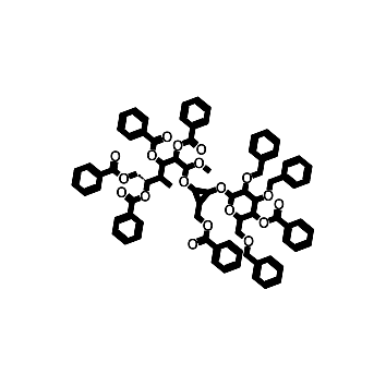 COC(OC1C(COC(=O)c2ccccc2)C1OC1OC(COCc2ccccc2)C(OC(=O)c2ccccc2)C(OCc2ccccc2)C1OCc1ccccc1)C(OC(=O)c1ccccc1)C(OC(=O)c1ccccc1)C(C)[C@@H](COC(=O)c1ccccc1)OC(=O)c1ccccc1